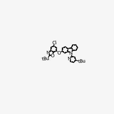 CC(C)(C)c1ccnc(-n2c3ccccc3c3ccc(Oc4cc(Cl)cc5nc(C(C)(C)C)oc45)cc32)c1